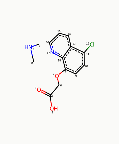 CNC.O=C(O)COc1ccc(Cl)c2cccnc12